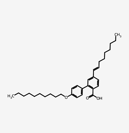 CCCCCCCC=Cc1ccc(C(=O)O)c(-c2ccc(OCCCCCCCCCC)cc2)c1